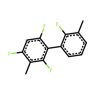 Cc1cccc(-c2c(F)[c]c(F)c(C)c2F)c1F